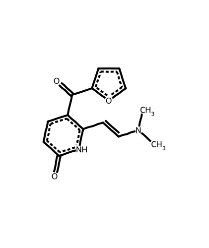 CN(C)/C=C/c1[nH]c(=O)ccc1C(=O)c1ccco1